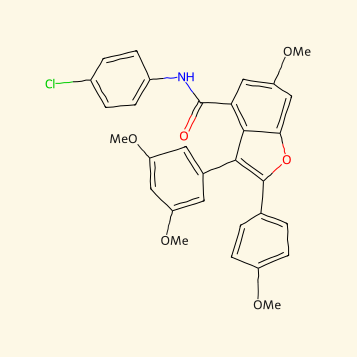 COc1ccc(-c2oc3cc(OC)cc(C(=O)Nc4ccc(Cl)cc4)c3c2-c2cc(OC)cc(OC)c2)cc1